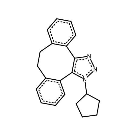 c1ccc2c(c1)CCc1ccccc1-c1c-2nnn1C1CCCC1